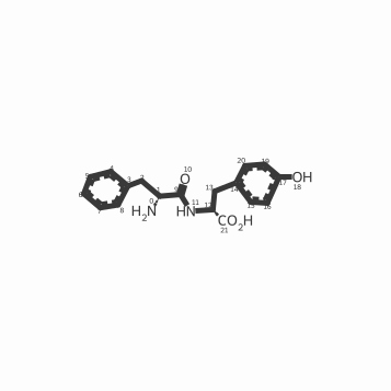 N[C@H](Cc1ccccc1)C(=O)N[C@H](Cc1ccc(O)cc1)C(=O)O